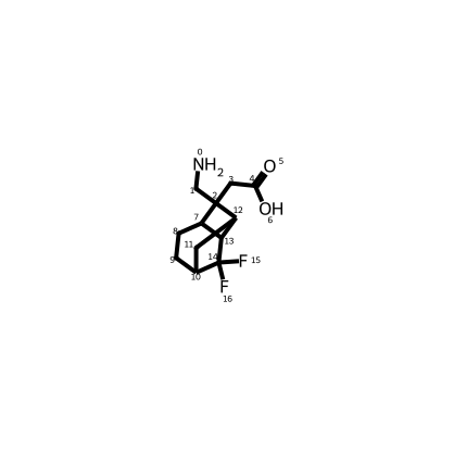 NCC1(CC(=O)O)C2CCC3CC1C2C3(F)F